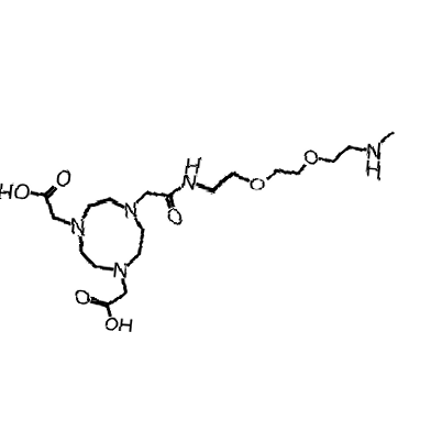 CNCCOCCOCCNC(=O)CN1CCN(CC(=O)O)CCN(CC(=O)O)CC1